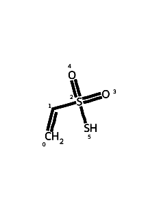 C=CS(=O)(=O)S